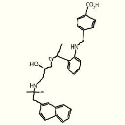 CC(OC[C@H](O)CNC(C)(C)Cc1ccc2ccccc2c1)c1ccccc1NCc1ccc(C(=O)O)cc1